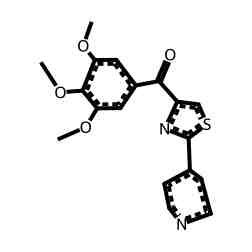 COc1cc(C(=O)c2csc(-c3ccncc3)n2)cc(OC)c1OC